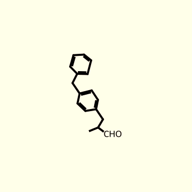 CC(C=O)Cc1ccc(Cc2ccccc2)cc1